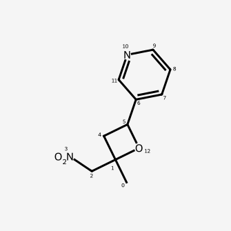 CC1(C[N+](=O)[O-])CC(c2cccnc2)O1